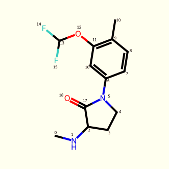 CNC1CCN(c2ccc(C)c(OC(F)F)c2)C1=O